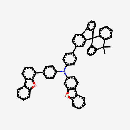 CC1(C)c2ccccc2C2(c3ccccc3-c3ccc(-c4ccc(N(c5ccc(-c6cccc7c6oc6ccccc67)cc5)c5ccc6c(c5)oc5ccccc56)cc4)cc32)c2ccccc21